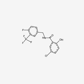 O=C(NCc1ccc(F)c(C(F)(F)F)c1)c1cc(Cl)ccc1O